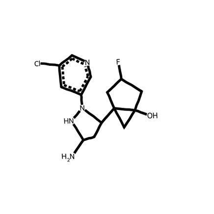 NC1CC(C23CC(F)CC2(O)C3)N(c2cncc(Cl)c2)N1